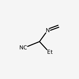 C=NC(C#N)CC